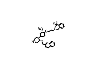 Cl.FC(F)(F)c1ccccc1COCCCOc1ccc(C2CCNCC2OCc2ccc3ccccc3c2)cc1